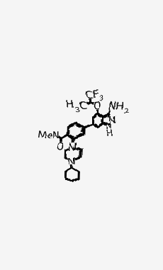 CNC(=O)c1ccc(-c2cc(OC(C)C(F)(F)F)c3c(N)n[nH]c3c2)cc1N1CCN(C2CCCCC2)CC1